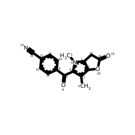 Cc1c2c(n(C)c1C(=O)c1ccc(C#N)cc1)CC(=O)O2